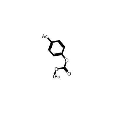 CC(=O)c1ccc(OC(=O)OC(C)(C)C)cc1